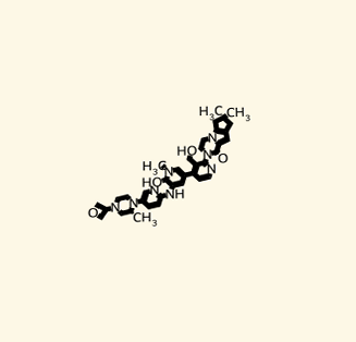 C[C@H]1CN(C2COC2)CCN1c1ccc(NC2=CC(c3ccnc(N4CCn5c(cc6c5CC(C)(C)C6)C4=O)c3CO)=CN(C)C2O)nc1